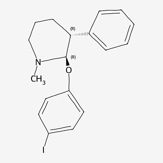 CN1CCC[C@H](c2ccccc2)[C@H]1Oc1ccc(I)cc1